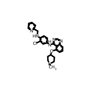 CN1CCC(Oc2cccc3ncnc(Nc4ccc(NCc5ccccn5)c(Cl)c4)c23)CC1